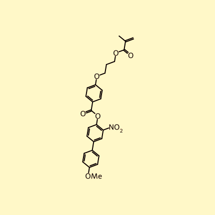 C=C(C)C(=O)OCCCOc1ccc(C(=O)Oc2ccc(-c3ccc(OC)cc3)cc2[N+](=O)[O-])cc1